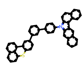 c1cc(-c2ccc(-n3c4cc5ccccc5cc4c4c5ccccc5ccc43)cc2)cc(-c2ccc3c(c2)-c2cccc4cccc(c24)S3)c1